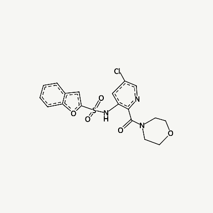 O=C(c1ncc(Cl)cc1NS(=O)(=O)c1cc2ccccc2o1)N1CCOCC1